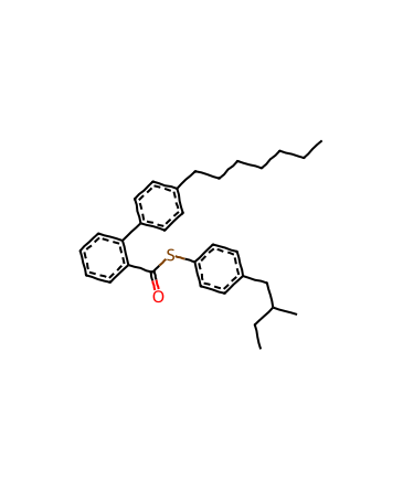 CCCCCCCc1ccc(-c2ccccc2C(=O)Sc2ccc(CC(C)CC)cc2)cc1